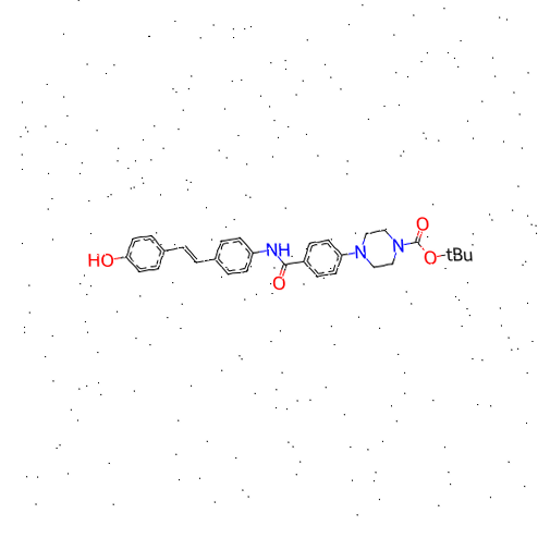 CC(C)(C)OC(=O)N1CCN(c2ccc(C(=O)Nc3ccc(/C=C/c4ccc(O)cc4)cc3)cc2)CC1